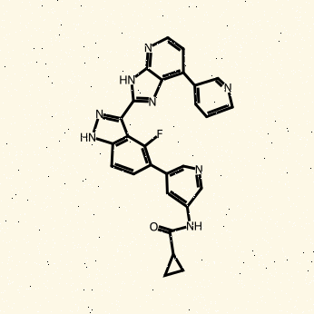 O=C(Nc1cncc(-c2ccc3[nH]nc(-c4nc5c(-c6cccnc6)ccnc5[nH]4)c3c2F)c1)C1CC1